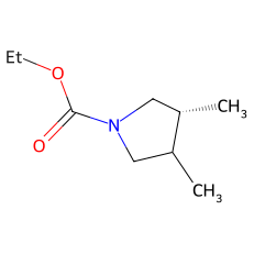 CCOC(=O)N1CC(C)[C@@H](C)C1